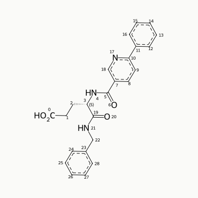 O=C(O)CC[C@H](NC(=O)c1ccc(-c2ccccc2)nc1)C(=O)NCc1ccccc1